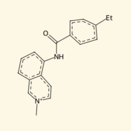 CCc1ccc(C(=O)Nc2cccc3c[n+](C)ccc23)cc1